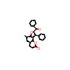 Cc1cc2ccc(=O)oc2c2c(-c3ccccc3)c(C(=O)c3ccccc3)oc12